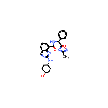 Cc1noc(C(NC(=O)c2cccc3cnc(N[C@H]4CC[C@H](O)CC4)nc23)c2ccccc2)n1